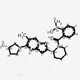 Cc1cn2nc([C@@H]3CCCCN3C(=O)c3ccccc3[S+](C)[O-])cc2nc1N1CC[C@H](C)C1